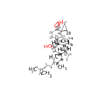 CC(C)=CCC[C@@H](C)[C@H]1CC[C@H]2[C@@H]3CC=C4C5(CC5)[C@@H](O)CC[C@]4(C)[C@H]3[C@H](O)C[C@]12C